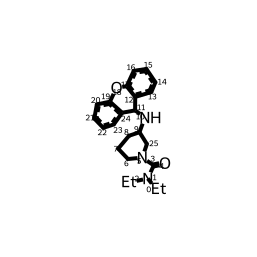 CCN(CC)C(=O)N1CCCC(NC2c3ccccc3Oc3ccccc32)C1